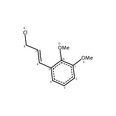 COc1cccc(C=CCCl)c1OC